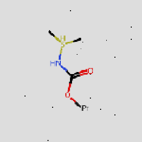 CC(C)OC(=O)N[SH](C)C